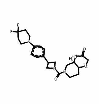 O=C1COC2CCN(C(=O)N3CC(c4ccc(N5CCC(F)(F)CC5)cc4)C3)C[C@H]2N1